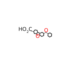 O=C(O)Cc1ccc2c(c1)oc1ccc(C(=O)c3ccccc3)cc12